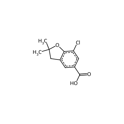 CC1(C)Cc2cc(C(=O)O)cc(Cl)c2O1